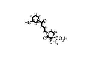 C[C@H]1C(=O)N(CCCC(=O)N2CCCC(O)C2)CCN1C(=O)O